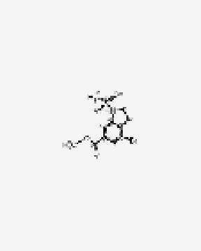 COC(=O)c1cc(Br)c2c(c1)N(S(C)(=O)=O)CC2